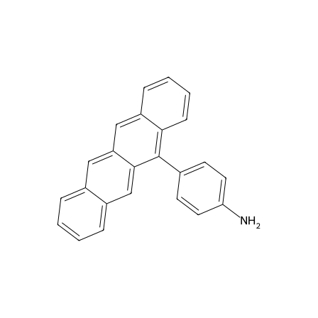 Nc1ccc(-c2c3ccccc3cc3cc4ccccc4cc23)cc1